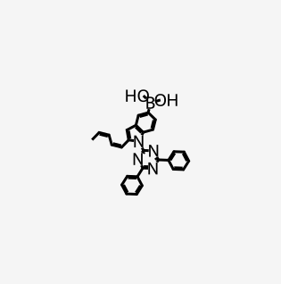 C/C=C\C=C/c1cc2cc(B(O)O)ccc2n1-c1nc(-c2ccccc2)nc(-c2ccccc2)n1